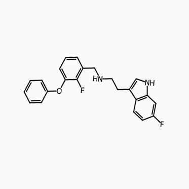 Fc1ccc2c(CCNCc3cccc(Oc4ccccc4)c3F)c[nH]c2c1